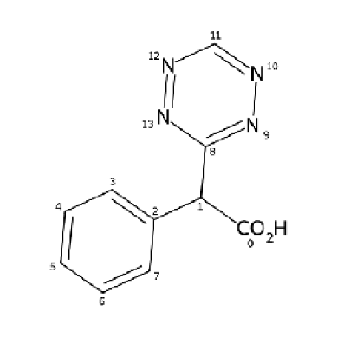 O=C(O)C(c1ccccc1)c1nncnn1